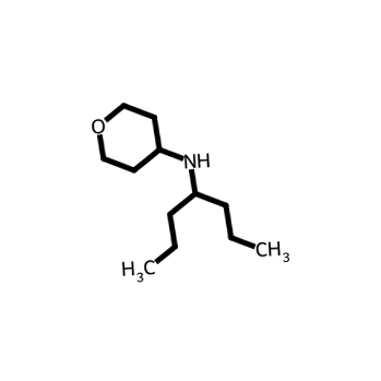 CCCC(CCC)NC1CCOCC1